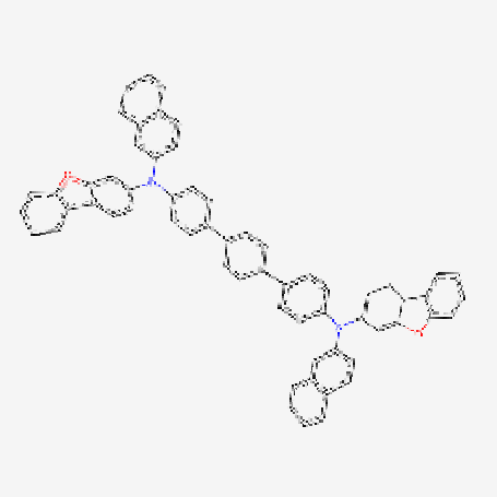 C1=C2Oc3ccccc3C2CC=C1N(c1ccc(-c2ccc(-c3ccc(N(c4ccc5ccccc5c4)c4ccc5c(c4)oc4ccccc45)cc3)cc2)cc1)c1ccc2ccccc2c1